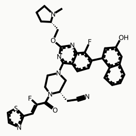 CN1CCC[C@H]1COc1nc(N2CCN(C(=O)/C(F)=C/c3nccs3)[C@@H](CC#N)C2)c2ccc(-c3cc(O)cc4ccccc34)c(F)c2n1